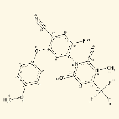 COc1ccc(Oc2cc(-n3c(=O)cc(C(F)(F)F)n(C)c3=O)c(F)cc2C#N)cc1